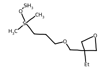 CCC1(COCCC[Si](C)(C)O[SiH3])COC1